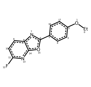 CCOc1ccc(-c2nc3ccc(F)nc3o2)cc1